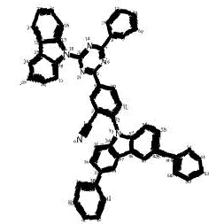 N#Cc1cc(-c2nc(-c3ccccc3)nc(-n3c4ccccc4c4ccccc43)n2)ccc1-n1c2ccc(-c3ccccc3)cc2c2cc(-c3ccccc3)ccc21